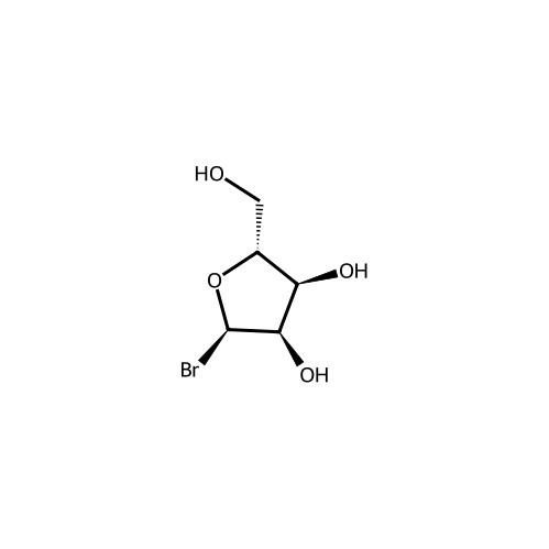 OC[C@H]1O[C@H](Br)[C@H](O)[C@@H]1O